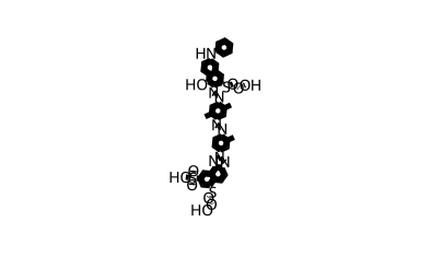 Cc1cc(-n2nc3ccc4c(SOOO)cc(S(=O)(=O)O)cc4c3n2)ccc1N=Nc1cc(C)c(N=Nc2c(SOOO)cc3cc(Nc4ccccc4)ccc3c2O)cc1C